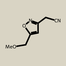 COCc1cc(CC#N)no1